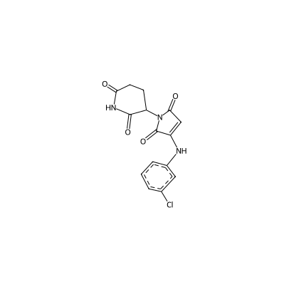 O=C1CCC(N2C(=O)C=C(Nc3cccc(Cl)c3)C2=O)C(=O)N1